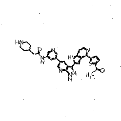 CC(=O)c1ccc(-c2nccc3[nH]c(-c4n[nH]c5ncc(-c6cncc(NC(=O)CC7CCNCC7)c6)cc45)cc23)s1